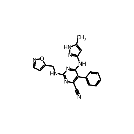 Cc1cc(Nc2nc(NCc3ccno3)nc(C#N)c2-c2ccccc2)n[nH]1